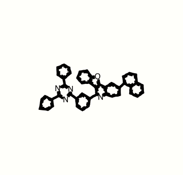 c1ccc(-c2nc(-c3ccccc3)nc(-c3cccc(-c4nc5ccc(-c6cccc7ccccc67)cc5c5oc6ccccc6c45)c3)n2)cc1